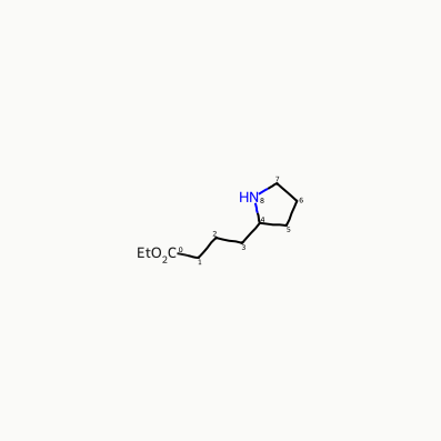 CCOC(=O)CCCC1CCCN1